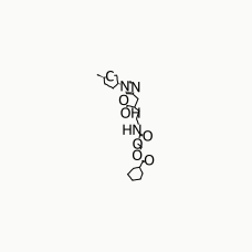 C[C@H]1CC[C@H](n2cnc(CC(CCCNC(=O)OCOC(=O)C3CCCCC3)C(=O)O)c2)CC1